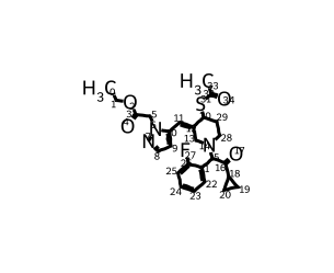 CCOC(=O)Cn1nccc1/C=C1\CN(C(C(=O)C2CC2)c2ccccc2F)CCC1SC(C)=O